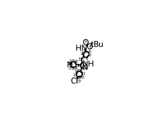 CC(C)(C)OC(=O)Nc1cccc(Cc2[nH]nc(-c3ccc(Cl)cc3)c2-c2ccncc2)c1